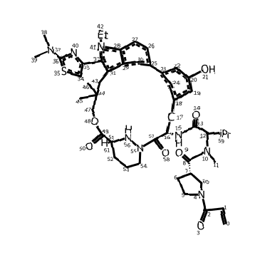 C=CC(=O)N1CC[C@H](C(=O)N(C)C(C(=O)N[C@H]2Cc3cc(O)cc(c3)-c3ccc4c(c3)c(c(-c3csc(N(C)C)n3)n4CC)CC(C)(C)COC(=O)[C@@H]3CCCN(N3)C2=O)C(C)C)C1